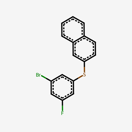 Fc1cc(Br)cc(Sc2ccc3ccccc3c2)c1